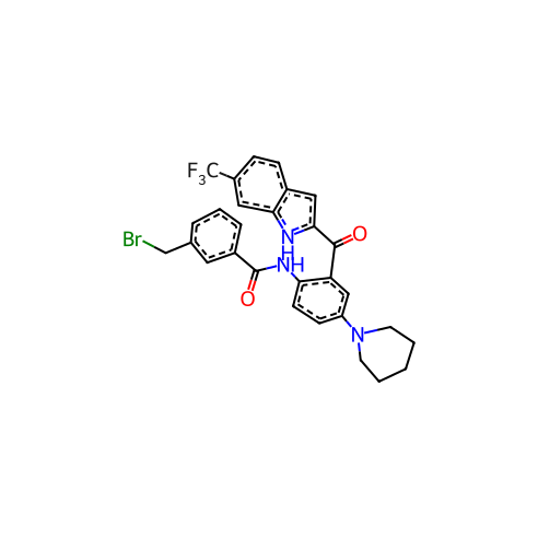 O=C(Nc1ccc(N2CCCCC2)cc1C(=O)c1cc2ccc(C(F)(F)F)cc2[nH]1)c1cccc(CBr)c1